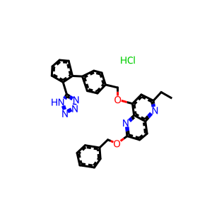 CCc1cc(OCc2ccc(-c3ccccc3-c3nnn[nH]3)cc2)c2nc(OCc3ccccc3)ccc2n1.Cl